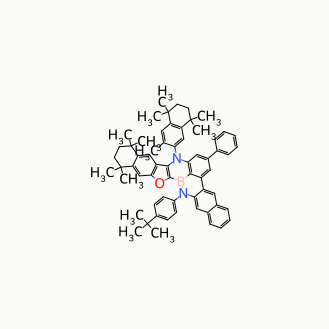 Cc1cc2c(cc1N1c3cc(-c4ccccc4)cc4c3B(c3oc5cc6c(cc5c31)C(C)(C)CCC6(C)C)N(c1ccc(C(C)(C)C)cc1)c1cc3ccccc3cc1-4)C(C)(C)CCC2(C)C